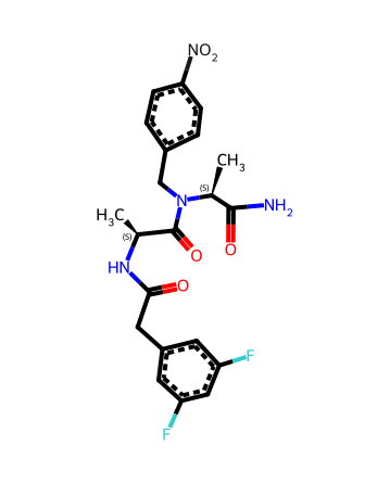 C[C@H](NC(=O)Cc1cc(F)cc(F)c1)C(=O)N(Cc1ccc([N+](=O)[O-])cc1)[C@@H](C)C(N)=O